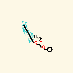 CCCOC(COCc1ccccc1)COCC(F)(F)C(F)(F)C(F)(F)C(F)(F)C(F)(F)C(F)(F)C(F)(F)C(F)(F)F